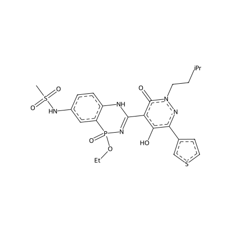 CCOP1(=O)N=C(c2c(O)c(-c3ccsc3)nn(CCC(C)C)c2=O)Nc2ccc(NS(C)(=O)=O)cc21